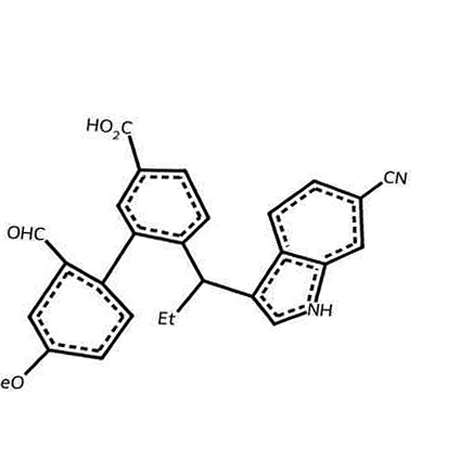 CCC(c1ccc(C(=O)O)cc1-c1ccc(OC)cc1C=O)c1c[nH]c2cc(C#N)ccc12